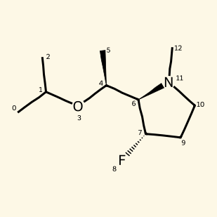 CC(C)O[C@@H](C)[C@@H]1[C@@H](F)CCN1C